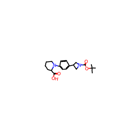 CC(C)(C)OC(=O)N1CC(c2ccc(N3CCCCC3C(=O)O)cc2)C1